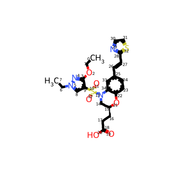 CCOc1nn(CC)cc1S(=O)(=O)N1C[C@H](CCC(=O)O)Oc2ccc(/C=C/c3nccs3)cc21